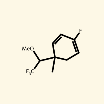 COC(C(F)(F)F)C1(C)C=CC(F)=CC1